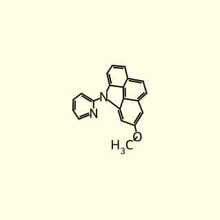 COc1cc2ccc3cccc4c3c2c(c1)n4-c1ccccn1